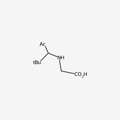 CC(=O)C(NCC(=O)O)C(C)(C)C